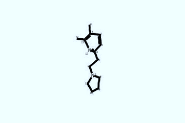 Cc1ccc(CCN2CCCC2)nc1C